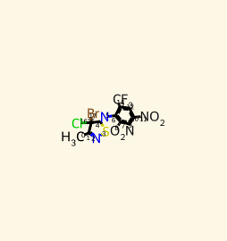 CC1=NS/C(=N\c2c([N+](=O)[O-])cc([N+](=O)[O-])cc2C(F)(F)F)C1(Cl)Br